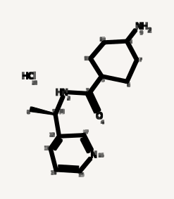 C[C@@H](NC(=O)C1CCC(N)CC1)c1cccnc1.Cl